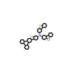 c1ccc2c(c1)oc1ccc(N(c3ccc4c(c3)sc3cc5c6ccccc6c6ccccc6c5cc34)c3ccc4sc5ccccc5c4c3)cc12